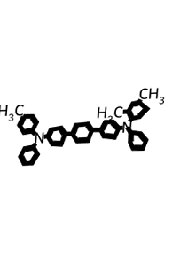 Cc1ccc(N(c2ccccc2)c2ccc(-c3ccc(-c4ccc(N(c5ccccc5)c5ccc(C)cc5C)cc4)cc3)cc2)cc1